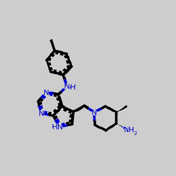 Cc1ccc(Nc2ncnc3[nH]cc(CN4CC[C@@H](N)[C@H](C)C4)c23)cc1